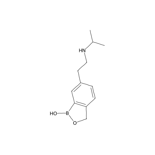 CC(C)NCCc1ccc2c(c1)B(O)OC2